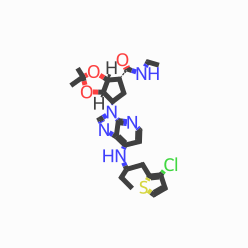 CCNC(=O)[C@@H]1C[C@H](n2cnc3c(NC(CC)Cc4sccc4Cl)ccnc32)[C@H]2OC(C)(C)O[C@@H]21